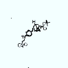 CN(CCS(C)(=O)=O)c1ccc(N2C[C@H]3CN(C(=O)OC(C)(C)C)CC2C(C)(C)C3)cc1